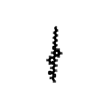 CCCCCCCCOc1cccc(C2CCCN(CCCC(=O)OCC)C2)c1